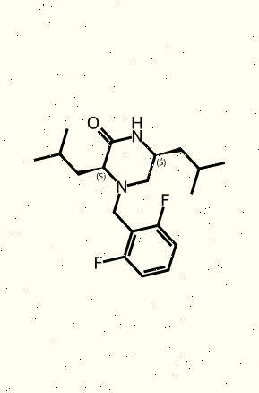 CC(C)C[C@H]1CN(Cc2c(F)cccc2F)[C@@H](CC(C)C)C(=O)N1